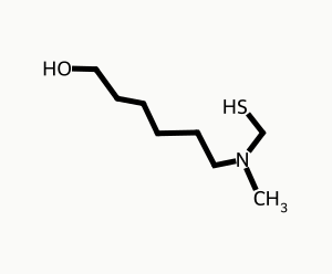 CN(CS)CCCCCCO